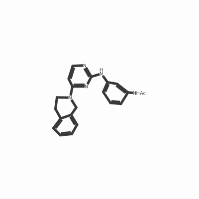 CC(=O)Nc1cccc(Nc2nccc(N3CCc4ccccc4C3)n2)c1